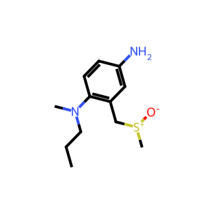 CCCN(C)c1ccc(N)cc1C[S+](C)[O-]